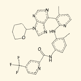 Cc1ccc(NC(=O)c2cc(C(F)(F)F)ccn2)cc1Nc1nccc(C)c1-c1ncnc2c1ncn2C1CCCCO1